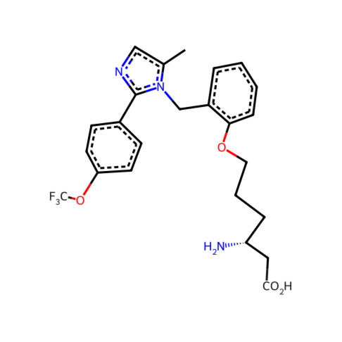 Cc1cnc(-c2ccc(OC(F)(F)F)cc2)n1Cc1ccccc1OCCC[C@@H](N)CC(=O)O